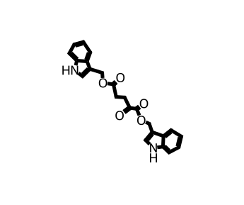 O=C(CCC(=O)C(=O)OCc1c[nH]c2ccccc12)OCc1c[nH]c2ccccc12